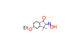 CCOc1ccc2c(c1)C(C)(C)C(=NO)C2=O